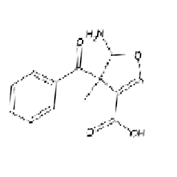 CC1(C(=O)c2ccccc2)C(C(=O)O)=NOC1N